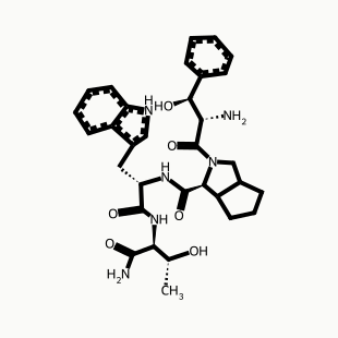 C[C@@H](O)[C@H](NC(=O)[C@H](Cc1c[nH]c2ccccc12)NC(=O)[C@@H]1C2CCCC2CN1C(=O)[C@@H](N)[C@@H](O)c1ccccc1)C(N)=O